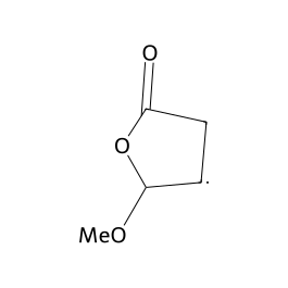 COC1[CH]CC(=O)O1